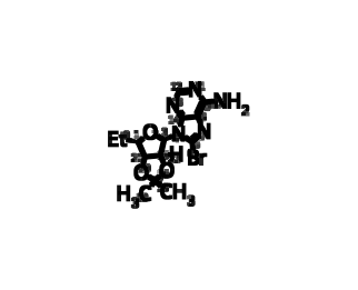 CC[C@H]1O[C@@H](n2c(Br)nc3c(N)ncnc32)[C@H]2OC(C)(C)OC12